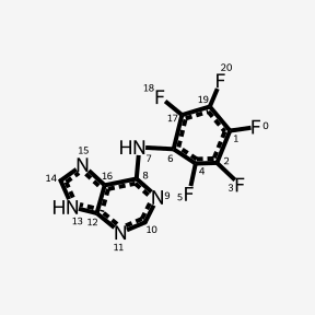 Fc1c(F)c(F)c(Nc2ncnc3[nH]cnc23)c(F)c1F